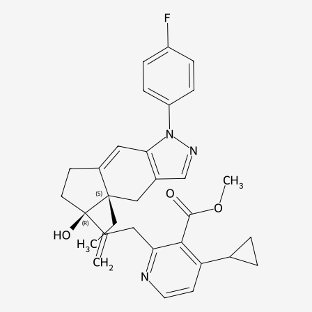 C=C(Cc1nccc(C2CC2)c1C(=O)OC)[C@]1(O)CCC2=Cc3c(cnn3-c3ccc(F)cc3)C[C@@]21CC